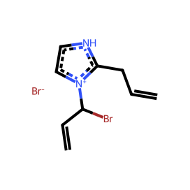 C=CCc1[nH]cc[n+]1C(Br)C=C.[Br-]